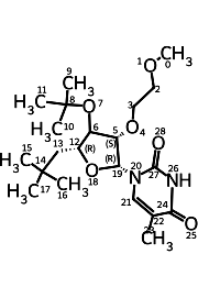 COCCO[C@H]1C(OC(C)(C)C)[C@@H](CC(C)(C)C)O[C@H]1n1cc(C)c(=O)[nH]c1=O